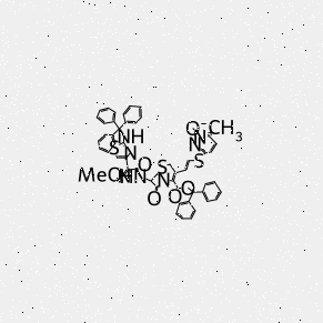 CON=C(C(=O)NC1C(=O)N2C(C(=O)OC(c3ccccc3)c3ccccc3)=C(C=CSc3ccc(C)[n+]([O-])n3)CSC12)c1csc(NC(c2ccccc2)(c2ccccc2)c2ccccc2)n1